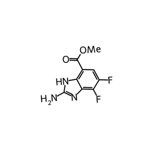 COC(=O)c1cc(F)c(F)c2nc(N)[nH]c12